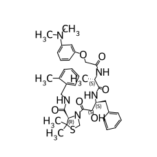 Cc1ccccc1CNC(=O)[C@H]1N(C(=O)[C@@H](O)[C@H](Cc2ccccc2)NC(=O)[C@H](C)NC(=O)COc2cccc(N(C)C)c2)CSC1(C)C